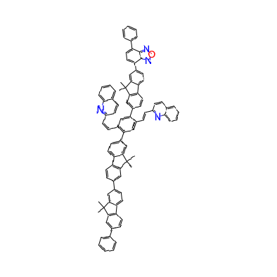 CC1(C)c2cc(-c3ccccc3)ccc2-c2ccc(-c3ccc4c(c3)C(C)(C)c3cc(-c5cc(/C=C/c6ccc7ccccc7n6)c(-c6ccc7c(c6)C(C)(C)c6cc(-c8ccc(-c9ccccc9)c9nonc89)ccc6-7)cc5/C=C\c5ccc6ccccc6n5)ccc3-4)cc21